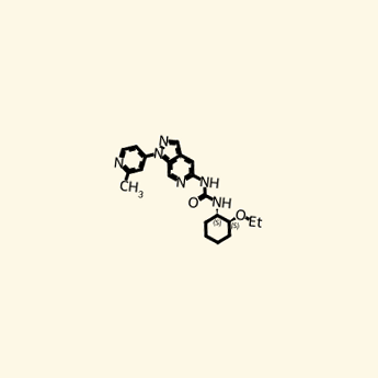 CCO[C@H]1CCCC[C@@H]1NC(=O)Nc1cc2cnn(-c3ccnc(C)c3)c2cn1